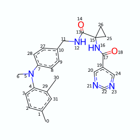 Cc1ccc(N(C)c2ccc(CNC(=O)C3(NC(=O)c4cncnc4)CC3)cc2)c(C)c1